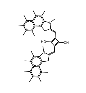 Cc1c(C)c(C)c2c3c(c(C)c(C)c2c1C)N(C)C(=CC1=C(O)C(C=C2Cc4c(c(C)c(C)c5c(C)c(C)c(C)c(C)c45)N2C)=C1O)C3